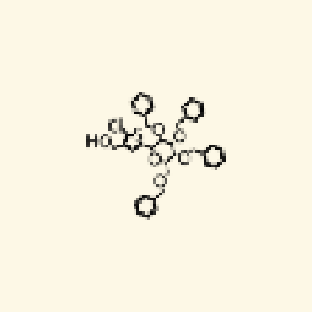 OCc1cc(C2O[C@H](COCc3ccccc3)[C@@H](OCc3ccccc3)[C@H](OCc3ccccc3)[C@H]2OCc2ccccc2)sc1Cl